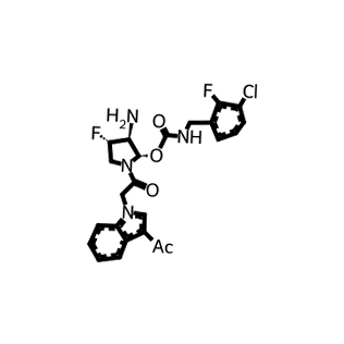 CC(=O)c1cn(CC(=O)N2C[C@H](F)[C@@H](N)[C@@H]2OC(=O)NCc2cccc(Cl)c2F)c2ccccc12